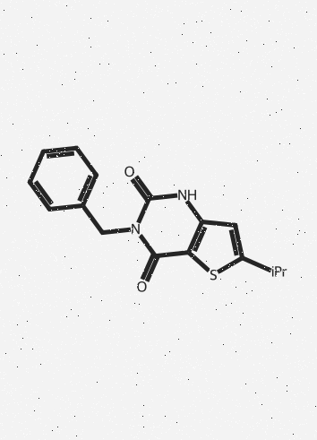 CC(C)c1cc2[nH]c(=O)n(Cc3ccccc3)c(=O)c2s1